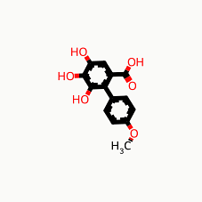 COc1ccc(-c2c(C(=O)O)cc(O)c(O)c2O)cc1